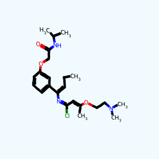 CC/C=C(/N=C(Cl)\C=C(/C)OCCN(C)C)c1cccc(OCC(=O)NC(C)C)c1